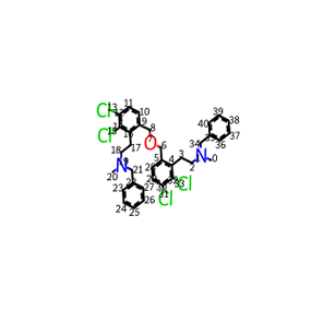 CN(CCc1c(COCc2ccc(Cl)c(Cl)c2CCN(C)Cc2ccccc2)ccc(Cl)c1Cl)Cc1ccccc1